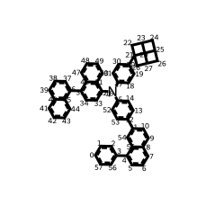 c1ccc(-c2cccc3ccc(-c4ccc(N(c5ccc(C67CC8CC9CC(C6)C987)cc5)c5ccc(-c6cccc7ccccc67)c6ccccc56)cc4)cc23)cc1